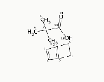 C1=CC2=C1CC2.CC(C)(C)C(=O)O